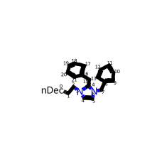 CCCCCCCCCCCCN1C=CN(Cc2ccccc2)C1Cc1ccccc1